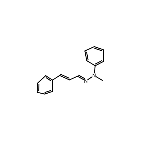 CN(N=CC=Cc1ccccc1)c1ccccc1